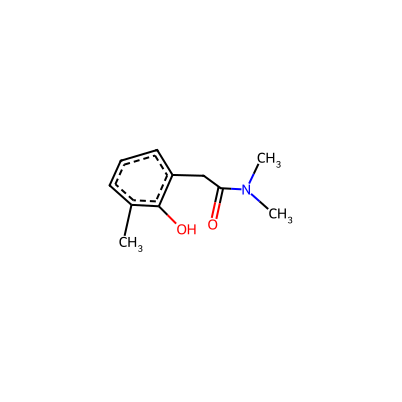 Cc1cccc(CC(=O)N(C)C)c1O